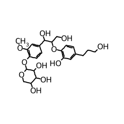 COc1cc(C(O)C(CO)Oc2ccc(CCCO)cc2O)ccc1OC1OCC(O)C(O)C1O